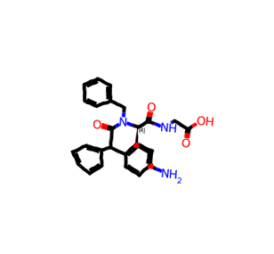 NCCC[C@H](C(=O)NCC(=O)O)N(Cc1ccccc1)C(=O)C(c1ccccc1)c1ccccc1